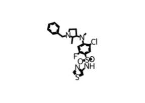 CC1C(N(C)c2cc(F)c(S(=O)(=O)Nc3cscn3)cc2Cl)CCN1Cc1ccccc1